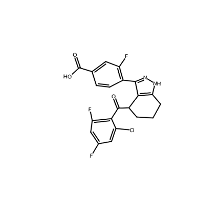 O=C(O)c1ccc(-c2n[nH]c3c2C(C(=O)c2c(F)cc(F)cc2Cl)CCC3)c(F)c1